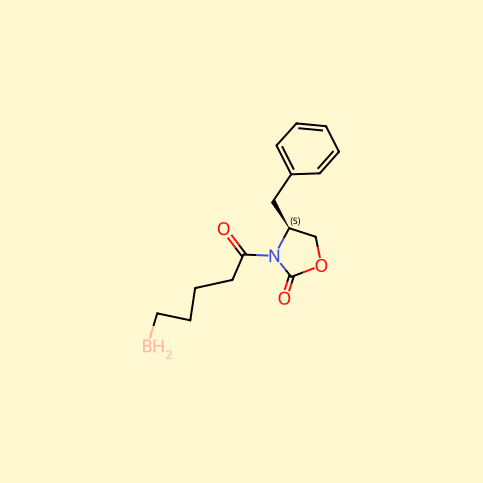 BCCCCC(=O)N1C(=O)OC[C@@H]1Cc1ccccc1